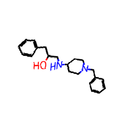 OC(CNC1CCN(Cc2ccccc2)CC1)Cc1ccccc1